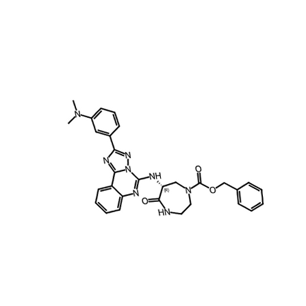 CN(C)c1cccc(-c2nc3c4ccccc4nc(N[C@@H]4CN(C(=O)OCc5ccccc5)CCNC4=O)n3n2)c1